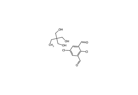 CCC(CO)(CO)CO.O=Cc1cc(Cl)cc(C=O)c1Cl